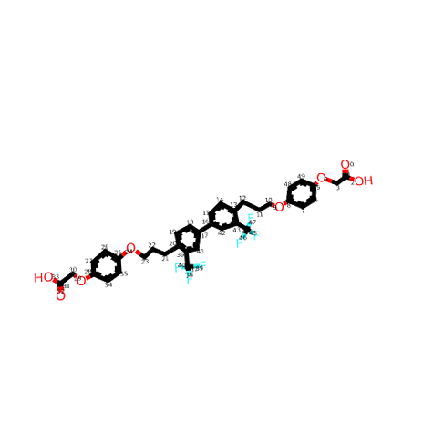 O=C(O)COc1ccc(OCCCc2ccc(-c3ccc(CCCOc4ccc(OCC(=O)O)cc4)c(C(F)(F)F)c3)cc2C(F)(F)F)cc1